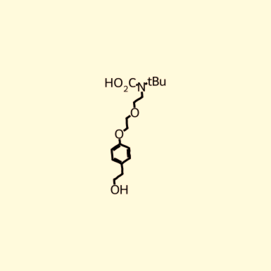 CC(C)(C)N(CCOCCOc1ccc(CCO)cc1)C(=O)O